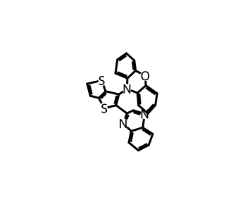 c1ccc2c(c1)Oc1ccccc1N2c1c(-c2cnc3ccccc3n2)sc2ccsc12